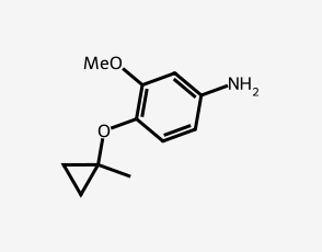 COc1cc(N)ccc1OC1(C)CC1